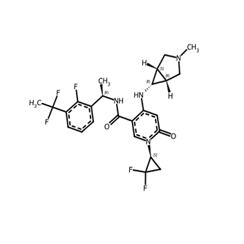 C[C@@H](NC(=O)c1cn([C@H]2CC2(F)F)c(=O)cc1N[C@@H]1[C@@H]2CN(C)C[C@@H]21)c1cccc(C(C)(F)F)c1F